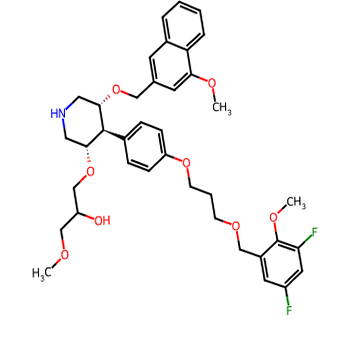 COCC(O)CO[C@@H]1CNC[C@H](OCc2cc(OC)c3ccccc3c2)[C@H]1c1ccc(OCCCOCc2cc(F)cc(F)c2OC)cc1